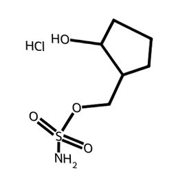 Cl.NS(=O)(=O)OCC1CCCC1O